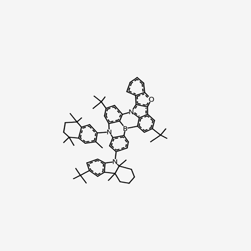 Cc1cc2c(cc1N1c3cc(N4c5ccc(C(C)(C)C)cc5C5(C)CCCCC45C)ccc3B3c4c1cc(C(C)(C)C)cc4-n1c4c3cc(C(C)(C)C)cc4c3oc4ccccc4c31)C(C)(C)CCC2(C)C